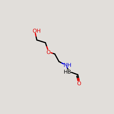 O=CBNCCOCCO